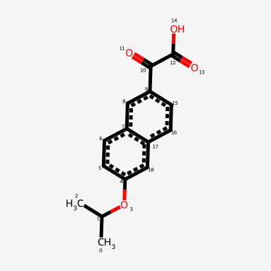 CC(C)Oc1ccc2cc(C(=O)C(=O)O)ccc2c1